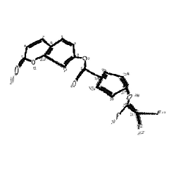 O=C(Oc1ccc2ccc(=O)oc2c1)c1ccc(OC(F)=C(F)F)cc1